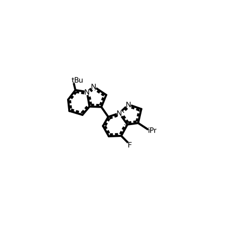 CC(C)c1cnn2c(-c3cnn4c(C(C)(C)C)cccc34)ccc(F)c12